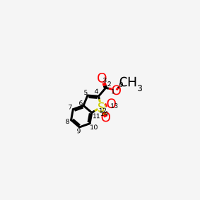 COC(=O)C1=Cc2ccccc2S1(=O)=O